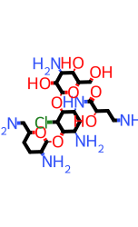 NCC[C@H](O)C(=O)N[C@@H]1C[C@H](N)C(O[C@H]2OC(CN)CCC2N)C(Cl)[C@H]1O[C@H]1OC(CO)[C@@H](O)[C@H](N)C1O